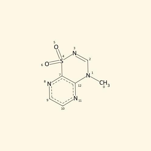 CN1C=NS(=O)(=O)c2nccnc21